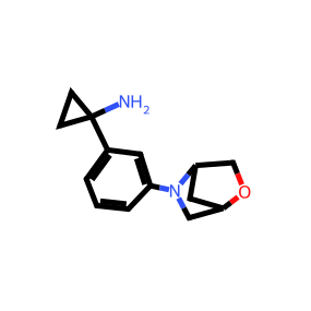 NC1(c2cccc(N3CC4CC3CO4)c2)CC1